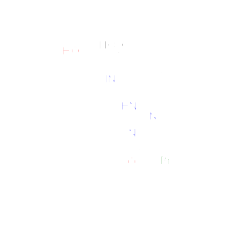 C#CCOc1nc(Nc2c(C)ccc(C(=O)O)c2NCCO)ncc1Br